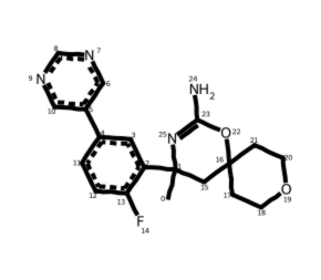 CC1(c2cc(-c3cncnc3)ccc2F)CC2(CCOCC2)OC(N)=N1